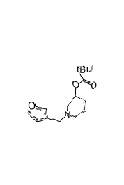 CC(C)(C)C(=O)OC1C=CCN(Cc2ccoc2)C1